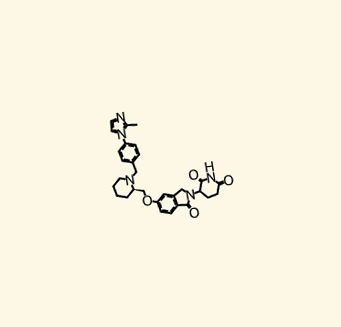 Cc1nccn1-c1ccc(CN2CCCC[C@@H]2COc2ccc3c(c2)CN(C2CCC(=O)NC2=O)C3=O)cc1